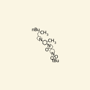 CCCC[C@H](C)CC1CCN(c2ccc(N3CCC4(CCN(C(=O)OC(C)(C)C)CC4)C3=O)c(C)c2)C1